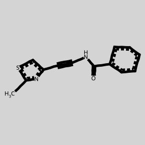 Cc1nc(C#CNC(=O)c2ccccc2)cs1